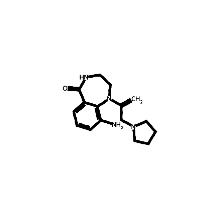 C=C(CN1CCCC1)N1CCNC(=O)c2cccc(N)c21